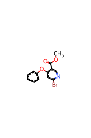 COC(=O)c1cnc(Br)cc1Oc1ccccc1